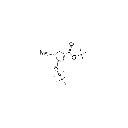 CC(C)(C)OC(=O)N1CC(C#N)C(O[Si](C)(C)C(C)(C)C)C1